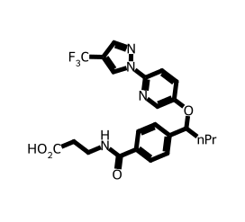 CCCC(Oc1ccc(-n2cc(C(F)(F)F)cn2)nc1)c1ccc(C(=O)NCCC(=O)O)cc1